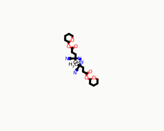 CC(C#N)(CCC(=O)OC1CCCCO1)/N=N\C(C)(C#N)CCC(=O)OC1CCCCO1